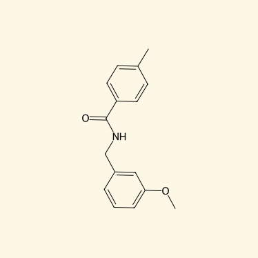 COc1cccc(CNC(=O)c2ccc(C)cc2)c1